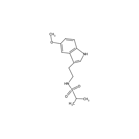 COc1ccc2[nH]cc(CCNS(=O)(=O)C(C)C)c2c1